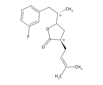 CC(C)=CC[C@@H]1CC([C@@H](C)Cc2cccc(F)c2)OC1=O